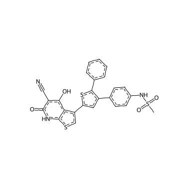 CS(=O)(=O)Nc1ccc(-c2cc(-c3csc4[nH]c(=O)c(C#N)c(O)c34)sc2-c2ccccc2)cc1